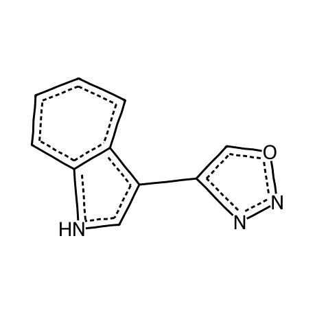 c1ccc2c(-c3conn3)c[nH]c2c1